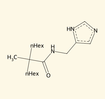 CCCCCCC(C)(CCCCCC)C(=O)NCc1cnc[nH]1